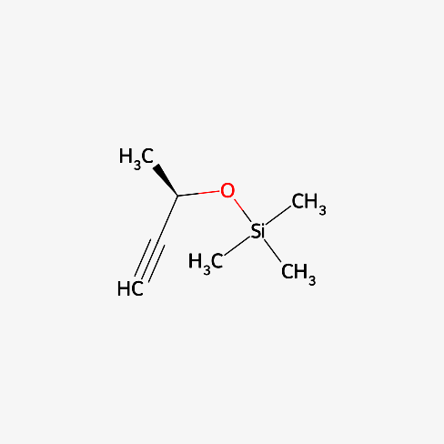 C#C[C@@H](C)O[Si](C)(C)C